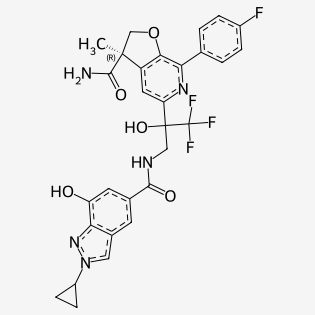 C[C@]1(C(N)=O)COc2c1cc(C(O)(CNC(=O)c1cc(O)c3nn(C4CC4)cc3c1)C(F)(F)F)nc2-c1ccc(F)cc1